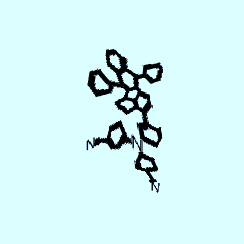 N#Cc1ccc(N(c2ccc(C#N)cc2)c2cccc(-c3ccc4c5c(cccc35)-c3c-4c(-c4ccccc4)c4ccccc4c3-c3ccccc3)c2)cc1